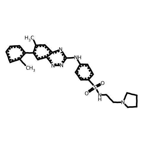 Cc1ccccc1-c1cc2nnc(Nc3ccc(S(=O)(=O)NCCN4CCCC4)cc3)nc2cc1C